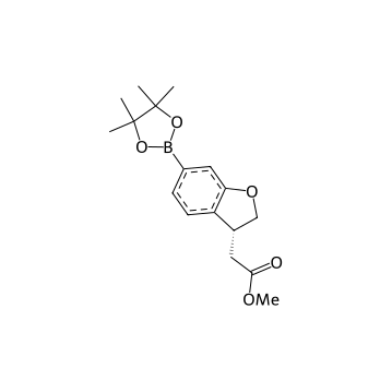 COC(=O)C[C@H]1COc2cc(B3OC(C)(C)C(C)(C)O3)ccc21